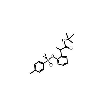 Cc1ccc(S(=O)(=O)Oc2ccccc2C(C)C(=O)OC(C)(C)C)cc1